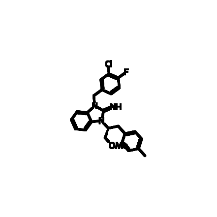 COC[C@H](Cc1ccc(C)cc1)n1c(=N)n(Cc2ccc(F)c(Cl)c2)c2ccccc21